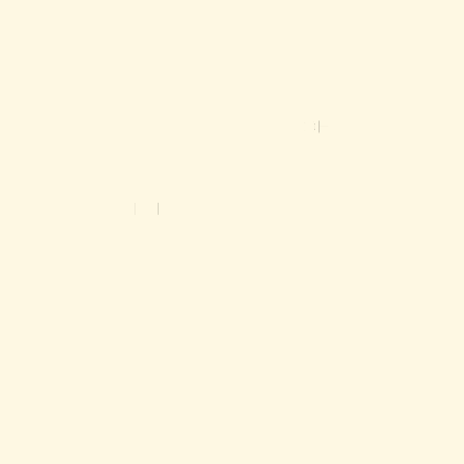 OC1C=Cc2cc3c(cc21)CCC3.[LiH]